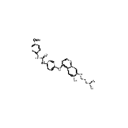 CCN(CC)CCCOc1cc2nccc(Oc3ccc(NC(=O)Nc4ccc(OC)cc4)cc3)c2cc1C#N